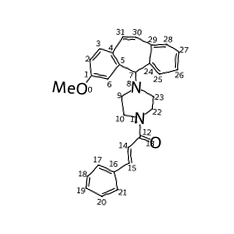 COc1ccc2c(c1)C(N1CCN(C(=O)/C=C/c3ccccc3)CC1)c1ccccc1C=C2